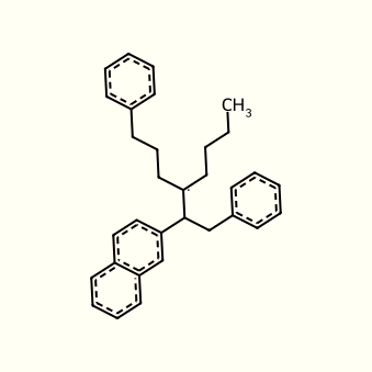 CCCC[C](CCCc1ccccc1)C(Cc1ccccc1)c1ccc2ccccc2c1